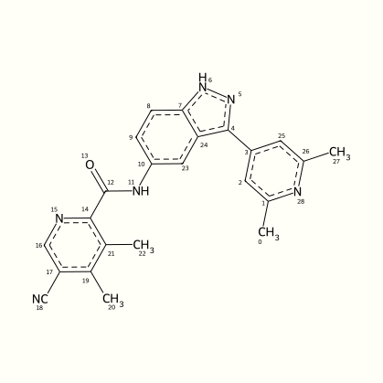 Cc1cc(-c2n[nH]c3ccc(NC(=O)c4ncc(C#N)c(C)c4C)cc23)cc(C)n1